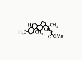 COC(=O)CC[C@@H](C)C1CCC2C3CC[C@@H]4C[C@H](C)CC[C@]4(C)C3=CC[C@@]21C